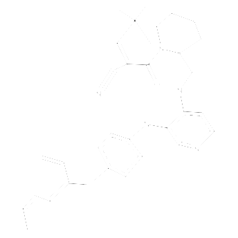 C=C/C(=C\C=C/C)Oc1ccc(Nc2cnccc2NCC2CCCCN2C(=O)/C(C#N)=C\C(C)(C)C)cc1